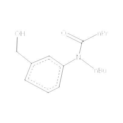 CCCCN(C(=O)CCC)c1cccc(CO)c1